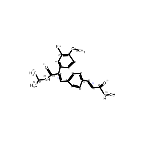 COc1ccc(/C(=C\c2ccc(/C=C/C(=O)NO)cc2)C(=O)NC(C)C)cc1F